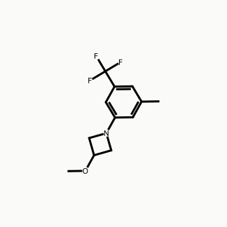 COC1CN(c2cc(C)cc(C(F)(F)F)c2)C1